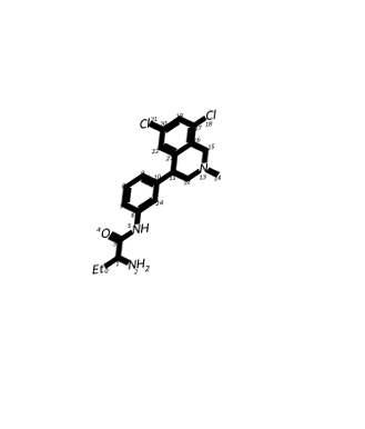 CCC(N)C(=O)Nc1cccc(C2CN(C)Cc3c(Cl)cc(Cl)cc32)c1